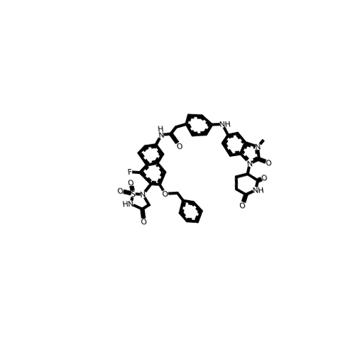 Cn1c(=O)n(C2CCC(=O)NC2=O)c2ccc(Nc3ccc(CC(=O)Nc4ccc5c(F)c(N6CC(=O)NS6(=O)=O)c(OCc6ccccc6)cc5c4)cc3)cc21